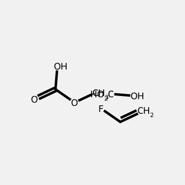 C=CF.COC(=O)O.O=C(O)O